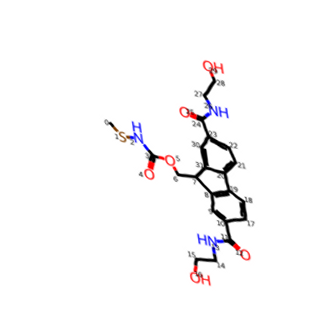 CSNC(=O)OCC1c2cc(C(=O)NCCO)ccc2-c2ccc(C(=O)NCCO)cc21